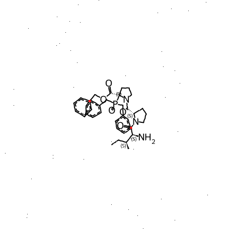 CC[C@H](C)[C@H](N)C(=O)N1CCC[C@H]1C(=O)N1CCC[C@]1(C(=O)OCc1ccccc1)P(=O)(Cc1ccccc1)Cc1ccccc1